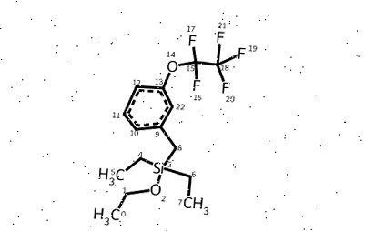 CCO[Si](CC)(CC)Cc1cccc(OC(F)(F)C(F)(F)F)c1